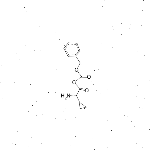 N[C@H](C(=O)OC(=O)OCc1ccccc1)C1CC1